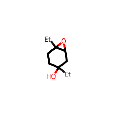 CCC1(O)CCC2(CC)OC2C1